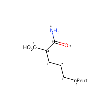 CCCCCCCCC(C(N)=O)C(=O)O